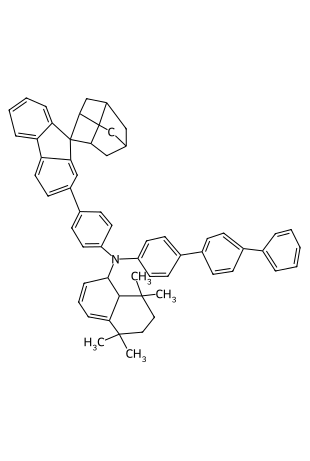 CC1(C)CCC(C)(C)C2C1=CC=CC2N(c1ccc(-c2ccc(-c3ccccc3)cc2)cc1)c1ccc(-c2ccc3c(c2)C2(c4ccccc4-3)C3CC4CC5CC2C53C4)cc1